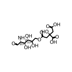 N[C@@H](C=O)[C@@H](O)[C@H](O)[C@H](O)COC(=O)CC(O)(CC(=O)O)C(=O)O